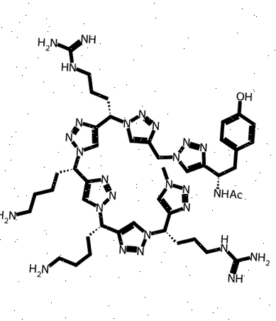 CC(=O)N[C@@H](Cc1ccc(O)cc1)c1cn(Cc2cn([C@@H](CCCNC(=N)N)c3cn([C@@H](CCCCN)c4cn([C@@H](CCCCN)c5cn([C@@H](CCCNC(=N)N)c6cn(C)nn6)nn5)nn4)nn3)nn2)nn1